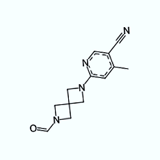 Cc1cc(N2CC3(CN(C=O)C3)C2)ncc1C#N